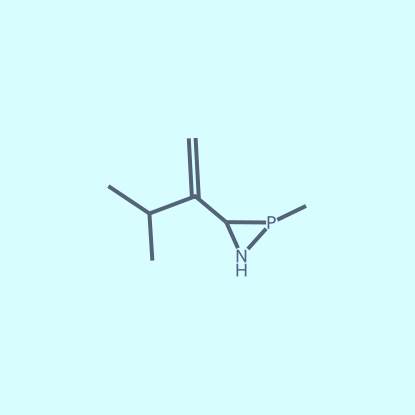 C=C(C(C)C)C1NP1C